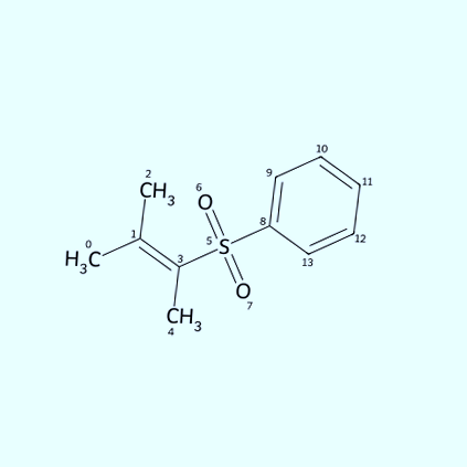 CC(C)=C(C)S(=O)(=O)c1ccccc1